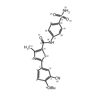 Cc1nc(-c2ccc(OCC(C)C)c(C#N)c2)sc1C(=O)Nc1ccc(S(N)(=O)=O)cc1